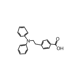 O=C(O)c1ccc(CCN(c2ccccc2)c2ccccc2)cc1